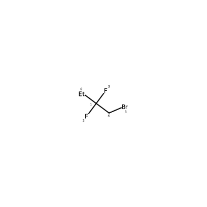 CCC(F)(F)CBr